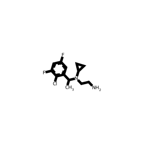 CC(c1cc(F)cc(F)c1Cl)N(CCN)C1CC1